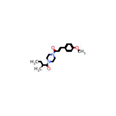 CCC(C)C(=O)N1CCN(C(=O)/C=C/c2ccc(OC)cc2)CC1